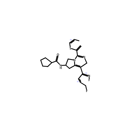 C=C(S/C=C\C)C1=NCC(C(/C=C\CF)=N/F)=C2CC(NC(=O)C3CCCC3)CN12